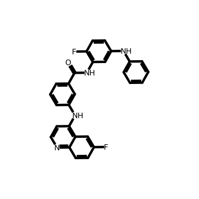 O=C(Nc1cc(Nc2ccccc2)ccc1F)c1cccc(Nc2ccnc3ccc(F)cc23)c1